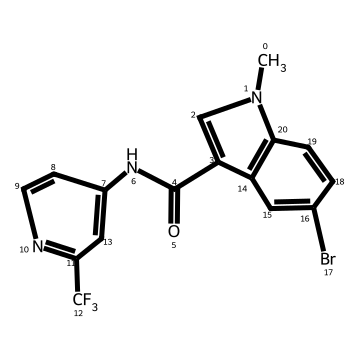 Cn1cc(C(=O)Nc2ccnc(C(F)(F)F)c2)c2cc(Br)ccc21